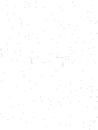 Cc1nnc(C2OCC(O)C2O)[nH]1